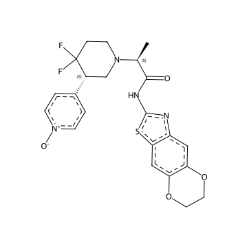 C[C@@H](C(=O)Nc1nc2cc3c(cc2s1)OCCO3)N1CCC(F)(F)[C@@H](c2cc[n+]([O-])cc2)C1